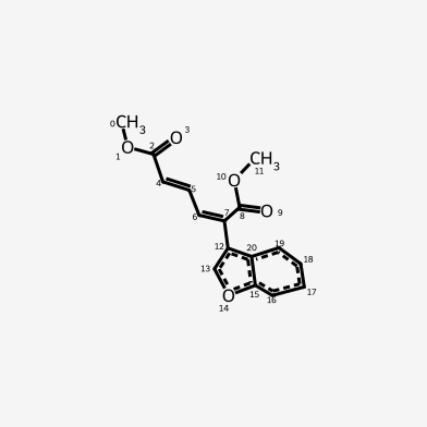 COC(=O)C=CC=C(C(=O)OC)c1coc2ccccc12